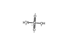 N[Se](=O)(=O)O